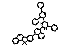 CC1(C)c2ccc(-c3ccc(-c4nc(-c5ccccc5)cc(-c5ccc(-c6ccccc6)cc5-c5ccccc5)n4)c4ccccc34)cc2-c2ccc3ccccc3c21